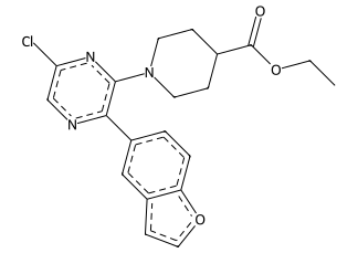 CCOC(=O)C1CCN(c2nc(Cl)cnc2-c2ccc3occc3c2)CC1